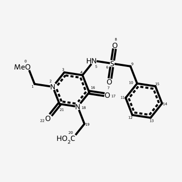 COCn1cc(NS(=O)(=O)Cc2ccccc2)c(=O)n(CC(=O)O)c1=O